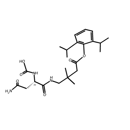 CC(C)c1cccc(C(C)C)c1OC(=O)CC(C)(C)CNC(=O)[C@H](CC(N)=O)NC(=O)O